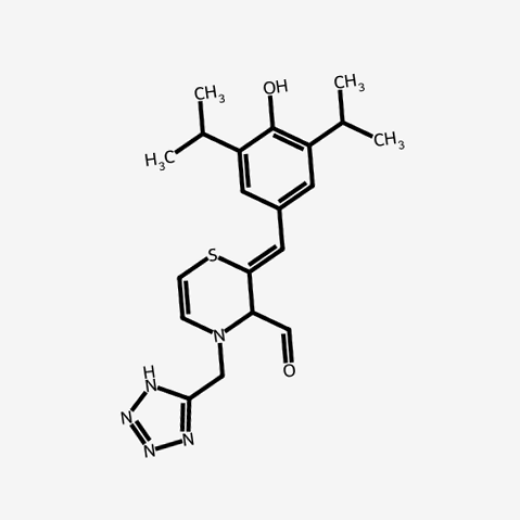 CC(C)c1cc(C=C2SC=CN(Cc3nnn[nH]3)C2C=O)cc(C(C)C)c1O